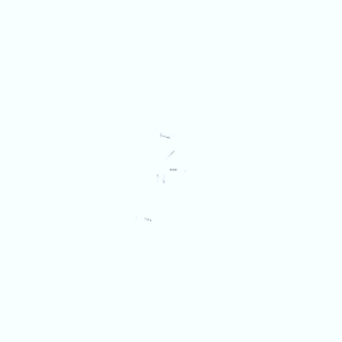 CC(=O)SCCNC(=O)/C=C/C(=O)O